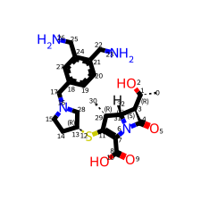 C[C@@H](O)[C@H]1C(=O)N2C(C(=O)O)=C(S[C@@H]3CCN(Cc4ccc(CN)c(CN)c4)C3)[C@H](C)[C@H]12